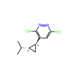 CC(C)[C@H]1C[C@@H]1c1cc(Cl)nnc1Cl